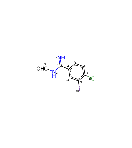 N=C(NC=O)c1ccc(Cl)c(I)c1